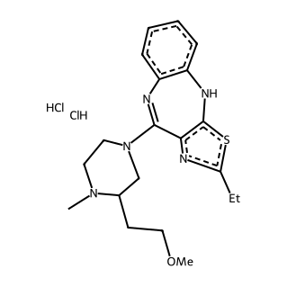 CCc1nc2c(s1)Nc1ccccc1N=C2N1CCN(C)C(CCOC)C1.Cl.Cl